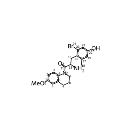 COc1ccc2c(c1)CCCN2C(=O)C(N)Cc1c(C)cc(O)cc1Br